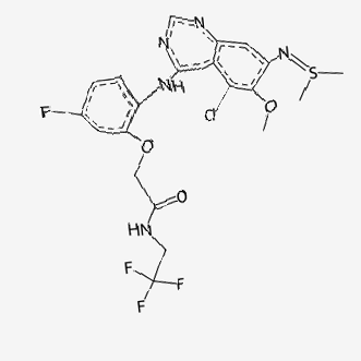 COc1c(N=S(C)C)cc2ncnc(Nc3ccc(F)cc3OCC(=O)NCC(F)(F)F)c2c1Cl